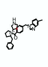 Cc1ccc2c(c1)ncn2Cc1ccc(C(=O)[N+]2(C3CCNC3)CCCC2Cc2ccccc2)cc1